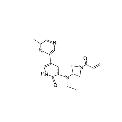 C=CC(=O)N1CC(N(CC)c2cc(-c3cncc(C)n3)c[nH]c2=O)C1